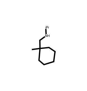 CC(C)NCC1(C)CCCCC1